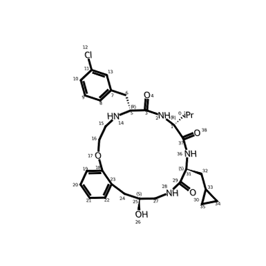 CC(C)[C@H]1NC(=O)[C@@H](Cc2cccc(Cl)c2)NCCOc2ccccc2C[C@H](O)CNC(=O)[C@H](CC2CC2)NC1=O